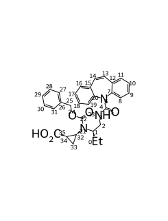 CC[C@H](CNC(=O)N1c2ccccc2C=Cc2ccccc21)N(C(=O)OCc1ccccc1)[C@H]1C[C@H]1C(=O)O